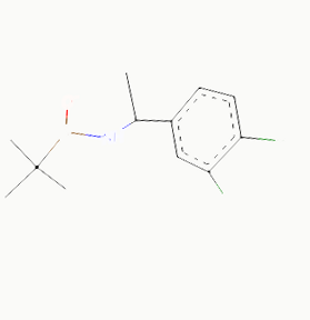 CC(N[S+]([O-])C(C)(C)C)c1ccc(Br)c(F)c1